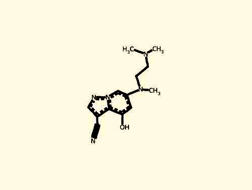 CN(C)CCN(C)c1cc(O)c2c(C#N)cnn2c1